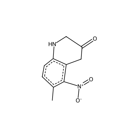 Cc1ccc2c(c1[N+](=O)[O-])CC(=O)CN2